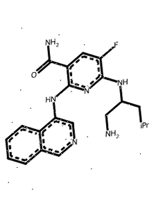 CC(C)CC(CN)Nc1nc(Nc2cncc3ccccc23)c(C(N)=O)cc1F